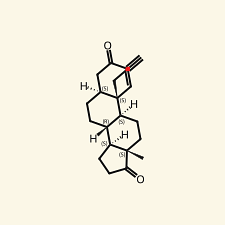 C#CC[C@]12C=CC(=O)C[C@@H]1CC[C@@H]1[C@@H]2CC[C@]2(C)C(=O)CC[C@@H]12